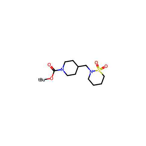 CC(C)(C)OC(=O)N1CCC(CN2CCCCS2(=O)=O)CC1